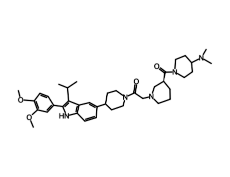 COc1ccc(-c2[nH]c3ccc(C4CCN(C(=O)CN5CCC[C@H](C(=O)N6CCC(N(C)C)CC6)C5)CC4)cc3c2C(C)C)cc1OC